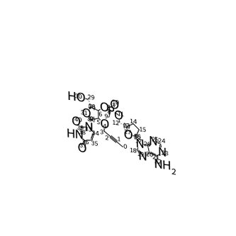 CC#CCOC1C(OP(C)(=O)OC[C@@H]2CC[C@H](n3cnc4c(N)ncnc43)O2)[C@@H](CO)O[C@H]1n1ccc(=O)[nH]c1=O